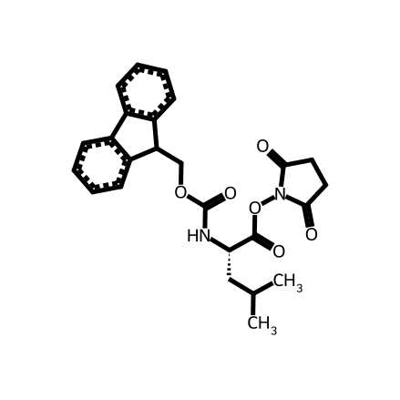 CC(C)C[C@H](NC(=O)OCC1c2ccccc2-c2ccccc21)C(=O)ON1C(=O)CCC1=O